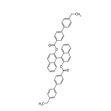 CCc1ccc(-c2ccc(C(=O)Oc3ccc4ccccc4c3-c3c(OC(=O)c4ccc(-c5ccc(CC)cc5)cc4)ccc4ccccc34)cc2)cc1